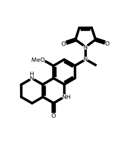 COc1cc(N(C)N2C(=O)C=CC2=O)cc2[nH]c(=O)c3c(c12)NCCC3